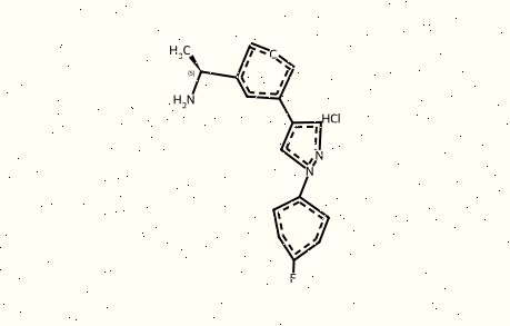 C[C@H](N)c1cccc(-c2cnn(-c3ccc(F)cc3)c2)c1.Cl